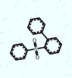 O=S(=O)(c1ccccc1)c1ccccc1-c1ccccc1